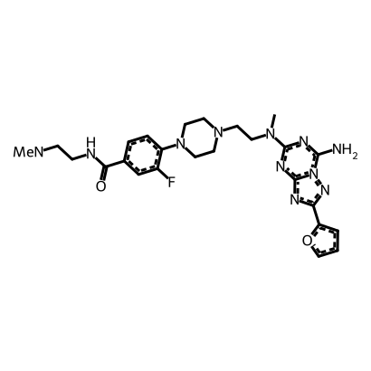 CNCCNC(=O)c1ccc(N2CCN(CCN(C)c3nc(N)n4nc(-c5ccco5)nc4n3)CC2)c(F)c1